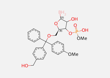 B[C@@H]1O[C@H](COC(c2ccccc2)(c2ccc(CO)cc2)c2ccc(OC)cc2)C(OP(=O)(O)OC)C1O